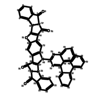 O=c1c2ccccc2n2c3oc4cc5c6c(=O)n7c(=O)c8ccccc8n7c6n(-c6nc(-c7ccccc7-c7ccccc7)c7ccccc7n6)c5cc4c3c(=O)n12